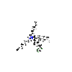 CCCCCCCC[N+](CCCCCCC)(CCCCCCC)CCCCCCCC.[Cl-]